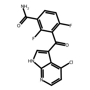 NC(=O)c1ccc(F)c(C(=O)c2c[nH]c3nccc(Cl)c23)c1F